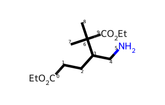 CCOC(=O)CCC(CN)C(C)(C)C(=O)OCC